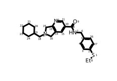 CCSc1ccc(CNC(=O)c2cnc3c(c2)CN(CC2CCCCC2)C3)cc1